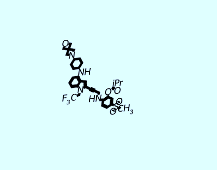 CC(C)C(=O)Oc1cc(S(C)(=O)=O)ccc1NCC#Cc1cc2c(N[C@H]3CC[C@H](N4CC5(COC5)C4)CC3)cccc2n1CC(F)(F)F